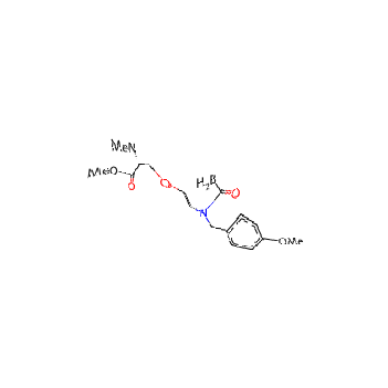 BC(=O)N(CCOC[C@@H](NC)C(=O)OC)Cc1ccc(OC)cc1